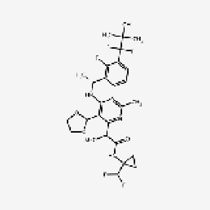 COC(C(=O)NC1(C(F)F)CC1)c1nc(C)nc(N[C@H](C)c2cccc(C(F)(F)C(C)(C)O)c2F)c1C1OCCO1